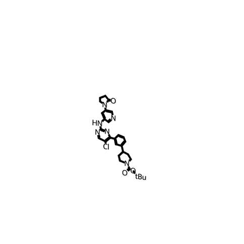 CC(C)(C)OC(=O)N1CCC(c2cccc(-c3nc(Nc4cncc(N5CCCC5=O)c4)ncc3Cl)c2)CC1